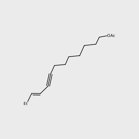 CCC=CC#CCCCCCCCOC(C)=O